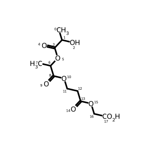 CC(O)C(=O)OC(C)C(=O)OCCC(=O)OCC(=O)O